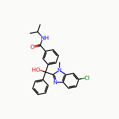 CC(C)NC(=O)c1cccc(C(O)(c2ccccc2)c2nc3ccc(Cl)cc3n2C)c1